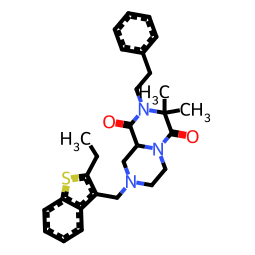 CCc1sc2ccccc2c1CN1CCN2C(=O)C(C)(C)N(CCc3ccccc3)C(=O)C2C1